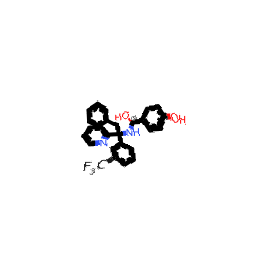 Oc1ccc([C@H](O)NC(Cc2ccccc2)(c2cccc(C(F)(F)F)c2)c2ccccn2)cc1